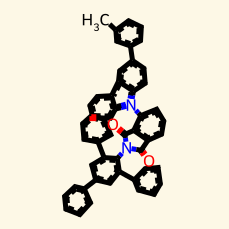 Cc1cccc(-c2ccc3c(c2)c2ccccc2n3-c2cccc3c2C(=O)N(c2c(-c4ccccc4)cc(-c4ccccc4)cc2-c2ccccc2)C3=O)c1